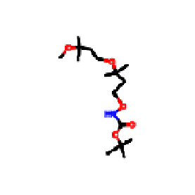 COC(C)(C)CCOC(C)(C)CCONC(=O)OC(C)(C)C